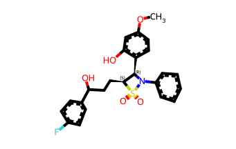 COc1ccc([C@@H]2[C@H](CCC(O)c3ccc(F)cc3)S(=O)(=O)N2c2ccccc2)c(O)c1